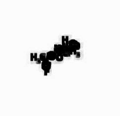 C[C@H](Nc1cnn(-c2ccc(N(C)c3ccc(F)cc3)cc2)c(=O)c1Cl)C1CCCOC1